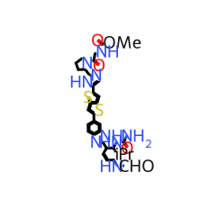 COC(=O)NCC(=O)N1CCCC1c1ncc(-c2cc3sc(-c4ccc5nc(C(/C=C\CNC=O)C(NC(N)=O)C(C)C)[nH]c5c4)cc3s2)[nH]1